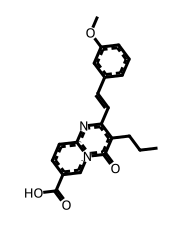 CCCc1c(/C=C/c2cccc(OC)c2)nc2ccc(C(=O)O)cn2c1=O